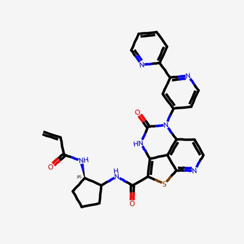 C=CC(=O)N[C@@H]1CCCC1NC(=O)c1sc2nccc3c2c1NC(=O)N3c1ccnc(-c2ccccn2)c1